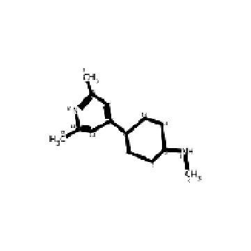 CNC1CCC(c2cc(C)nc(C)c2)CC1